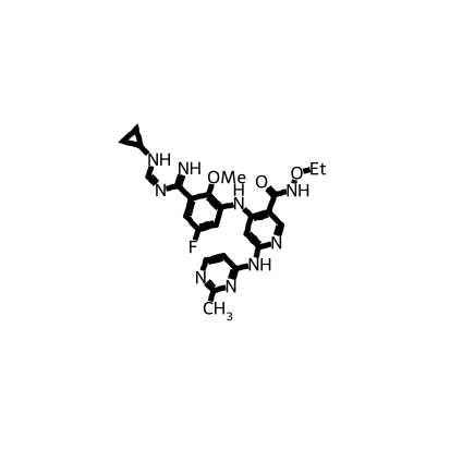 CCONC(=O)c1cnc(Nc2ccnc(C)n2)cc1Nc1cc(F)cc(C(=N)/N=C\NC2CC2)c1OC